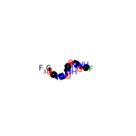 O=C(Nc1ccc(Oc2ccc3cc(C(=O)N4CCN(Cc5ccc(OCC(F)(F)F)cc5)CC4)[nH]c3c2)nc1)c1ccc(F)cc1